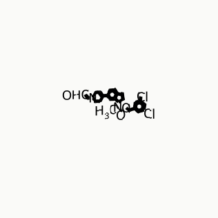 CN(C(=O)OCc1cc(Cl)cc(Cl)c1)C1CCc2ccc(C3=CCN(CC=O)CC3)cc21